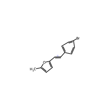 Cc1ccc(/C=C/c2ccc(Br)cc2)o1